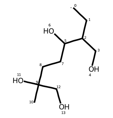 [CH2]CC(CO)C(O)CCC(C)(O)CO